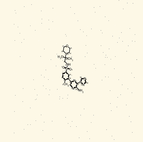 Cc1ccc(S(=O)(=O)NCC(C)(C)N2CCOCC2)cc1-c1cnc(N)c(-n2cncn2)n1